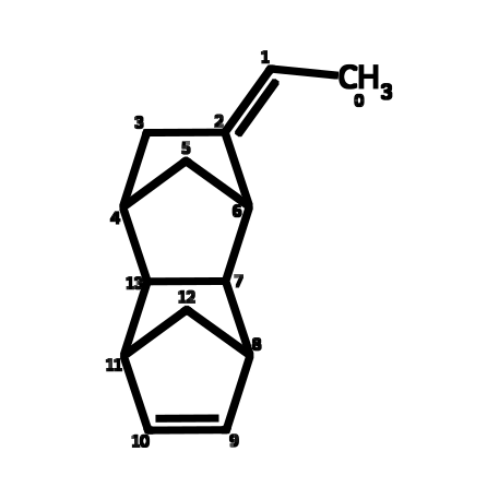 CC=C1CC2CC1C1C3C=CC(C3)C21